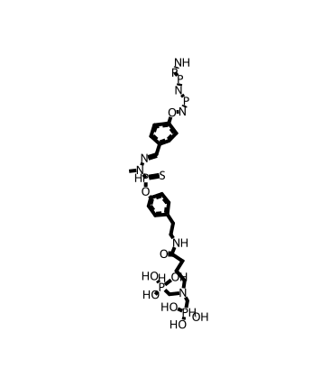 CN(N=Cc1ccc(O/N=P\N=P\P=N)cc1)[PH](=S)Oc1ccc(CCNC(=O)CCCN(C[PH](O)(O)O)C[PH](O)(O)O)cc1